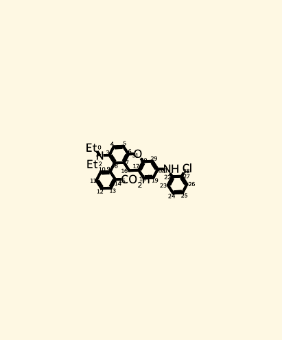 CCN(CC)c1ccc2c(c1-c1ccccc1C(=O)O)Cc1ccc(Nc3ccccc3Cl)cc1O2